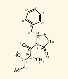 CC(=O)C[C@H](O)[C@@H](C)C(=O)N1C(=O)OC[C@H]1Cc1ccccc1